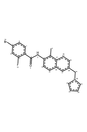 Cc1c(NC(=O)c2ccc(Br)cc2F)ccc2cc(Cn3cccc3)cnc12